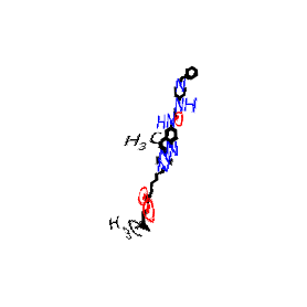 Cc1cc(N2CCN(CCCCCC(=O)OCC3=C[C@H]3C)CC2)nc2ccc(NC(=O)CNC3CCN(Cc4ccccc4)CC3)cc12